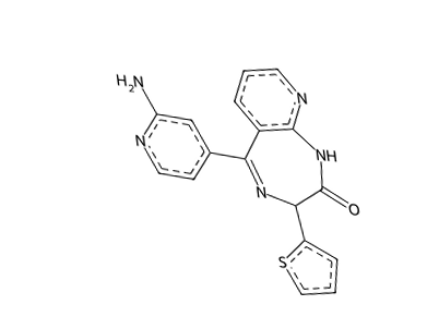 Nc1cc(C2=NC(c3cccs3)C(=O)Nc3ncccc32)ccn1